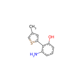 Cc1csc(-c2c(N)cccc2O)c1